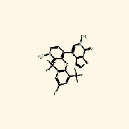 Cn1ccc(-c2cn(C)c(=O)c3[nH]ccc23)c(Oc2c(C(F)(F)F)cc(F)cc2C(F)(F)F)c1=O